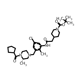 Cc1c(CN2CCN(C(=O)C3CCCC3)[C@@H](C)C2)cc(Cl)cc1NC(=O)CC1CCN(C(=O)OC(C)(C)C)CC1